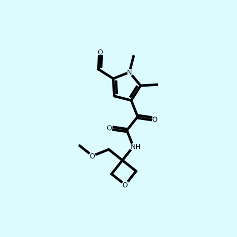 COCC1(NC(=O)C(=O)c2cc(C=O)n(C)c2C)COC1